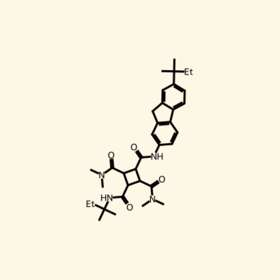 CCC(C)(C)NC(=O)C1C(C(=O)N(C)C)C(C(=O)Nc2ccc3c(c2)Cc2cc(C(C)(C)CC)ccc2-3)C1C(=O)N(C)C